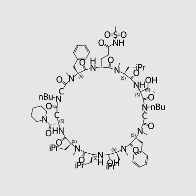 CCCCN1CC(=O)N(C)[C@@H](Cc2ccccc2)C(=O)NC(CCC(=O)NS(C)(=O)=O)C(=O)N(C)[C@@H](CC(C)C)C(=O)N[C@@H]([C@@H](C)O)C(=O)N(CCCC)CC(=O)N(C)[C@@H](Cc2ccccc2)C(=O)N(C)[C@@H](CC(C)C)C(O)N[C@@H](CC(C)C)C(=O)N(C)[C@@H](CC(C)C)C(=O)N[C@H](C(=O)N2CCCCC2)CC1=O